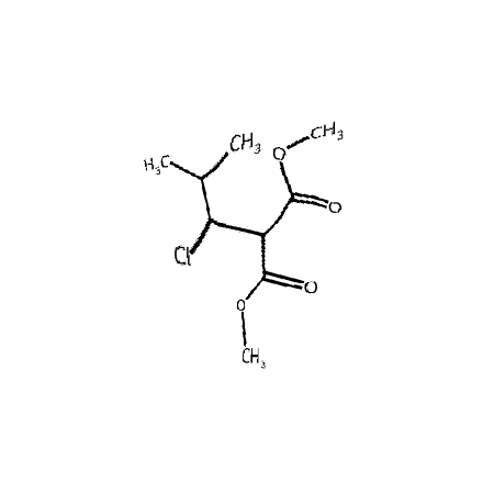 COC(=O)C(C(=O)OC)C(Cl)C(C)C